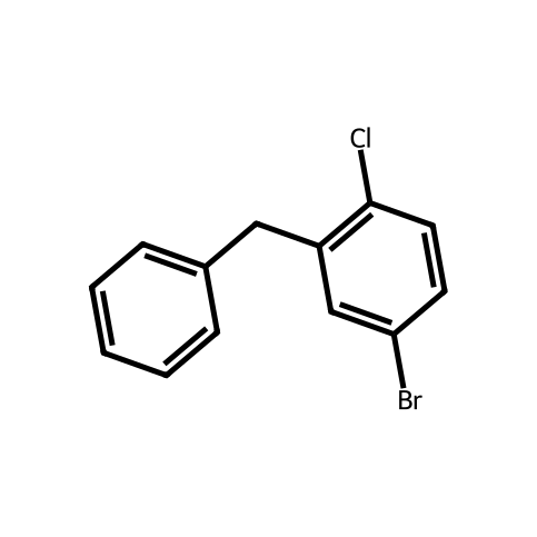 Clc1ccc(Br)cc1Cc1ccccc1